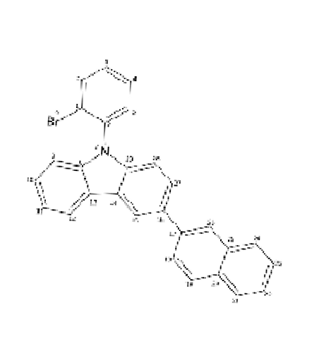 Brc1ccccc1-n1c2ccccc2c2cc(-c3ccc4ccccc4c3)ccc21